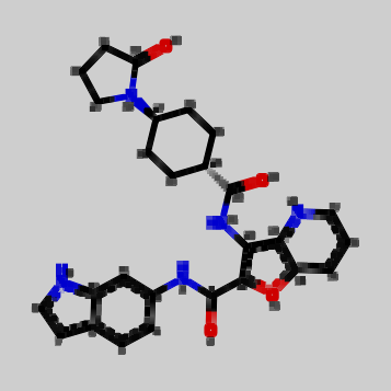 O=C(Nc1ccc2cc[nH]c2c1)c1oc2cccnc2c1NC(=O)[C@H]1CC[C@H](N2CCCC2=O)CC1